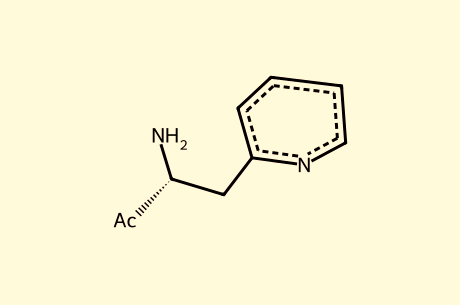 CC(=O)[C@H](N)Cc1ccccn1